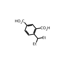 CCC(CC)c1ccc(C(=O)O)cc1C(=O)O